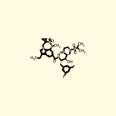 CCc1cn2c3c(cc(C(=O)N[C@@H](Cc4cc(F)cc(F)c4)[C@H](O)[C@H]4CN(S(=O)(=O)C(C)C)CCN4)cc13)N(C)S(=O)(=O)C1(CC1)C2